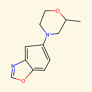 CC1C[N+](c2ccc3ocnc3c2)CCO1